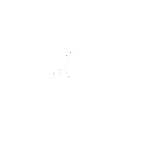 CCCCCCC1(CCCCCC)c2cc(N(C3=CC=C(OCCCCOCC4(CC)COC4)CC3)c3ccc(-c4ccc(NC5=CC=C(OCCCCOCC6(CC)COC6)CC5)cc4)cc3)ccc2-c2ccc(C(C)(CC)CC)cc21